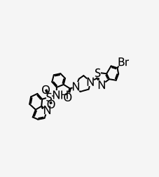 O=C(c1ccccc1NS(=O)(=O)c1cccc2cccnc12)N1CCN(c2nc3ccc(Br)cc3s2)CC1